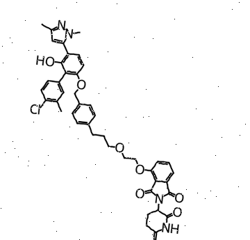 C=C1CCC(N2C(=O)c3cccc(OCCOCCCc4ccc(COc5ccc(-c6cc(C)nn6C)c(O)c5-c5ccc(Cl)c(C)c5)cc4)c3C2=O)C(=O)N1